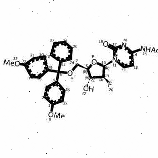 COc1ccc(C(OC[C@H]2O[C@@H](n3ccc(NC(C)=O)nc3=O)[C@@H](F)[C@@H]2O)(c2ccccc2)c2ccc(OC)cc2)cc1